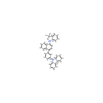 CC1(C)CN(c2ccc(-c3cccc(-n4c5ccccc5c5ccccc54)c3)c3ccccc23)c2ccccc21